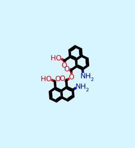 Nc1ccc2cccc(C(=O)O)c2c1C(=O)OC(=O)c1c(N)ccc2cccc(C(=O)O)c12